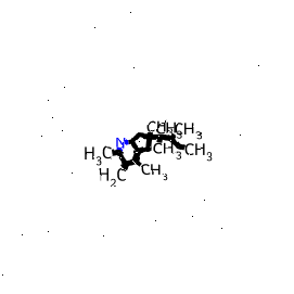 C=C1C(C)=NC2CC(C)(C(C)(C)C(C)CC)CC2=C1C